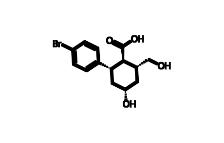 O=C(O)[C@H]1[C@H](CO)C[C@H](O)C[C@@H]1c1ccc(Br)cc1